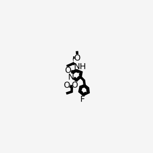 CCC(=O)Oc1nc2c(cc1Cc1ccc(F)cc1)N[C@@H](COC)CO2